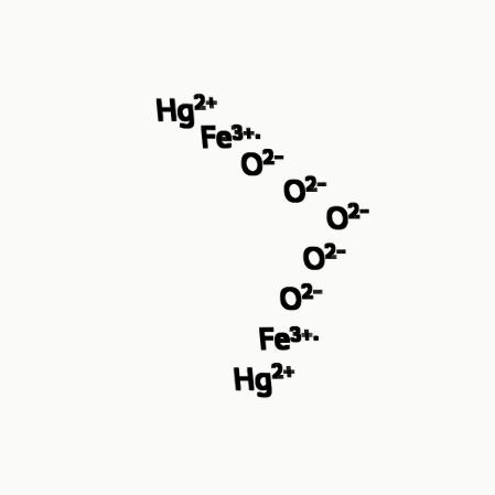 [Fe+3].[Fe+3].[Hg+2].[Hg+2].[O-2].[O-2].[O-2].[O-2].[O-2]